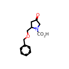 O=C1CC(COCc2ccccc2)N(C(=O)O)C1